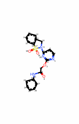 O=C(COc1nccc(N2Cc3ccccc3S2(=O)=O)n1)Nc1ccccc1